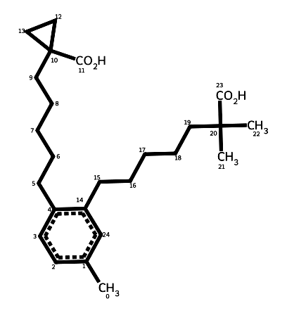 Cc1ccc(CCCCCC2(C(=O)O)CC2)c(CCCCCC(C)(C)C(=O)O)c1